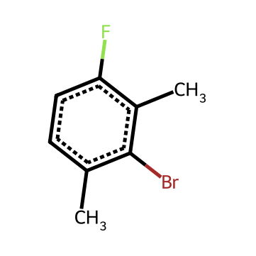 Cc1ccc(F)c(C)c1Br